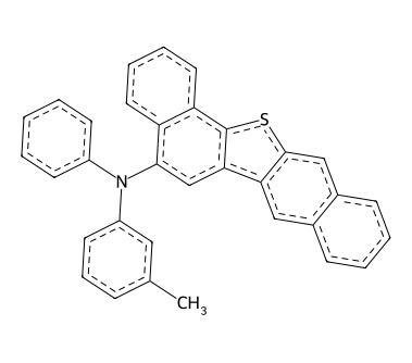 Cc1cccc(N(c2ccccc2)c2cc3c4cc5ccccc5cc4sc3c3ccccc23)c1